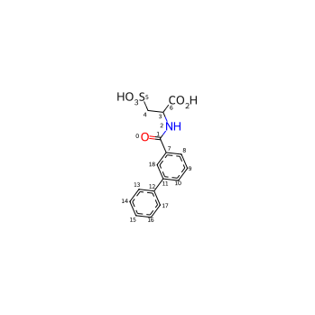 O=C(NC(CS(=O)(=O)O)C(=O)O)c1cccc(-c2ccccc2)c1